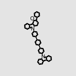 c1ccc2c(c1)oc1c2ccc2c1c1ccccc1n2-c1ccc(-c2ccc(-c3ccc(-n4c5ccccc5c5ccccc54)cc3)cc2)cc1